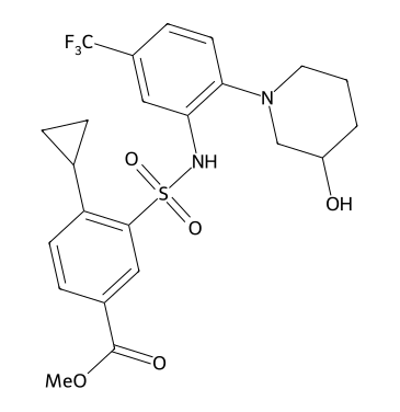 COC(=O)c1ccc(C2CC2)c(S(=O)(=O)Nc2cc(C(F)(F)F)ccc2N2CCCC(O)C2)c1